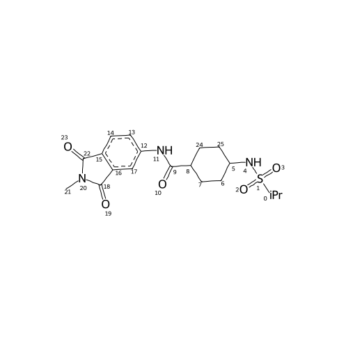 CC(C)S(=O)(=O)NC1CCC(C(=O)Nc2ccc3c(c2)C(=O)N(C)C3=O)CC1